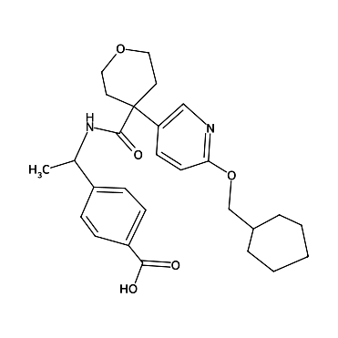 CC(NC(=O)C1(c2ccc(OCC3CCCCC3)nc2)CCOCC1)c1ccc(C(=O)O)cc1